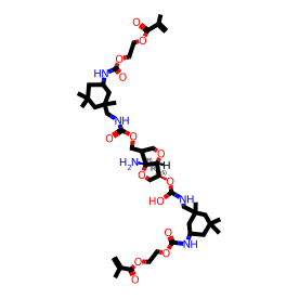 C=C(C)C(=O)OCCOC(=O)NC1CC(C)(C)CC(C)(CNC(=O)OCC2CO[C@@H]3[C@@H](OC(O)NCC4(C)CC(NC(=O)OCCOC(=O)C(=C)C)CC(C)(C)C4)CO[C@]23N)C1